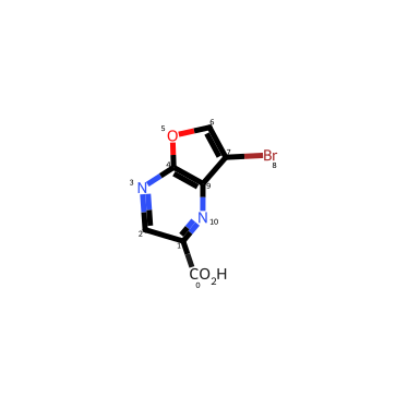 O=C(O)c1cnc2occ(Br)c2n1